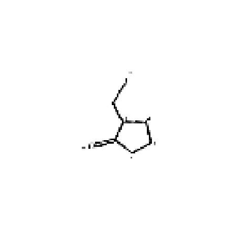 O=C1CCCC1CI